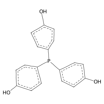 Oc1ccc(P(c2ccc(O)cc2)c2ccc(O)cc2)cc1